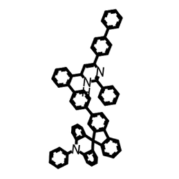 C1=C(c2ccc(-c3ccccc3)cc2)N=C(c2ccccc2)NC1c1ccccc1-c1ccc(-c2ccc3c(c2)C2(c4ccccc4-3)c3ccccc3N(c3ccccc3)c3ccccc32)cc1